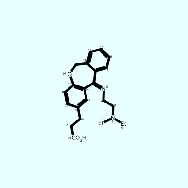 CCN(CC)CC/N=C1/c2ccccc2COc2ccc(CCC(=O)O)cc21